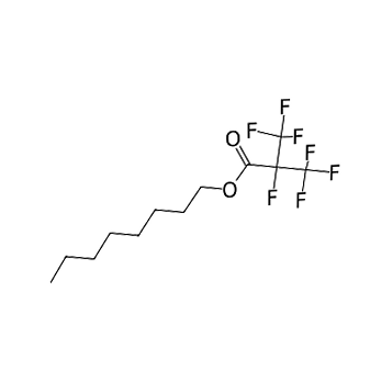 CCCCCCCCOC(=O)C(F)(C(F)(F)F)C(F)(F)F